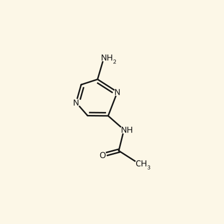 CC(=O)Nc1cncc(N)n1